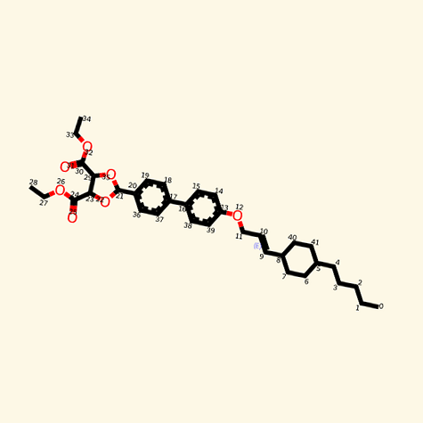 CCCCCC1CCC(/C=C/COc2ccc(-c3ccc(C4OC(C(=O)OCC)C(C(=O)OCC)O4)cc3)cc2)CC1